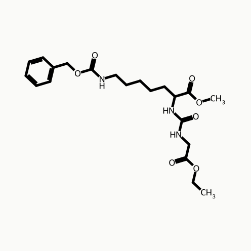 CCOC(=O)CNC(=O)NC(CCCCCNC(=O)OCc1ccccc1)C(=O)OC